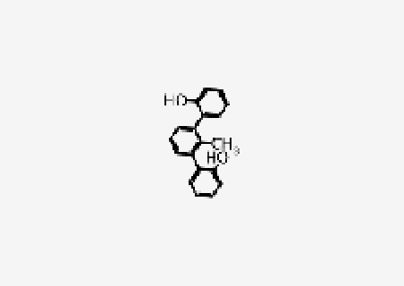 Cc1c(-c2ccccc2O)cccc1-c1ccccc1O